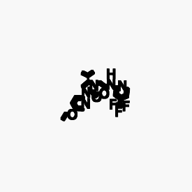 CCOc1ccc(N2C[C@H](C(C)C)N(CC(=O)Nc3cc(C(F)(F)F)ccn3)C2=O)nc1